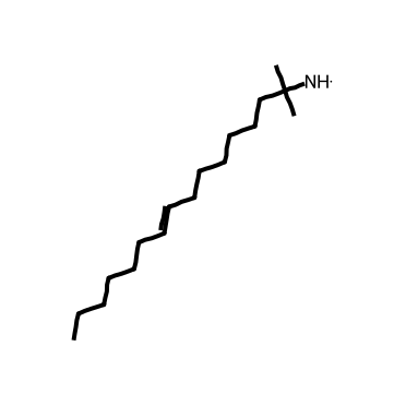 CCCCCCC=CCCCCCCC(C)(C)[NH]